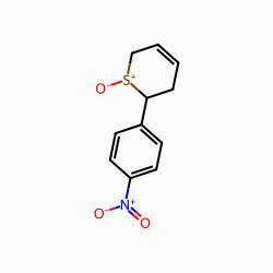 O=[N+]([O-])c1ccc(C2CC=CC[S+]2[O-])cc1